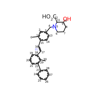 Cc1cc(CN2CCCC(O)C2C(=O)O)ccc1/C=C/c1cccc(-c2ccccc2)c1C